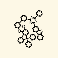 c1ccc(-c2nc(-c3cccc(-c4cccc5c4Oc4ccc6c(c4O5)-c4ccccc4C6(c4ccccc4)c4ccccc4)c3)nc(-c3ccc4c(c3)sc3ccccc34)n2)cc1